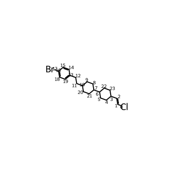 Cl/C=C/C1CCC(C2CCC(CCc3ccc(Br)cc3)CC2)CC1